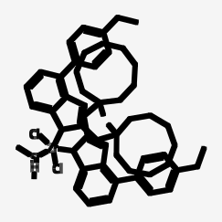 CCc1ccc(-c2cccc3c2C=C(CC2(C)CCCCCCCC2)[CH]3[Zr]([Cl])([Cl])([CH]2C(CC3(C)CCCCCCCC3)=Cc3c(-c4ccc(CC)cc4)cccc32)[SiH](C)C)cc1